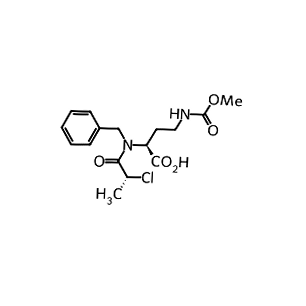 COC(=O)NCC[C@@H](C(=O)O)N(Cc1ccccc1)C(=O)[C@@H](C)Cl